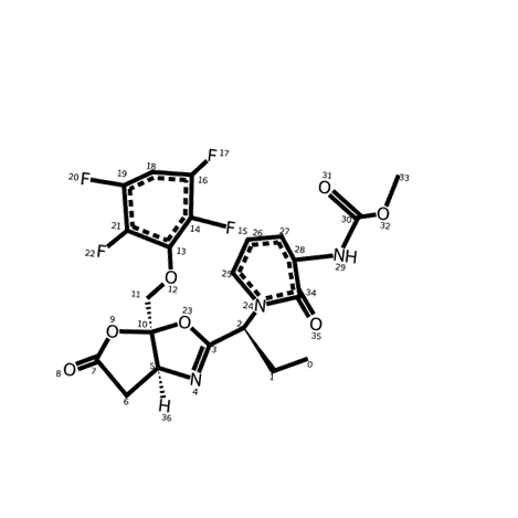 CC[C@@H](C1=N[C@H]2CC(=O)O[C@@]2(COc2c(F)c(F)cc(F)c2F)O1)n1cccc(NC(=O)OC)c1=O